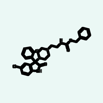 O=C(NCCN1CCN(C2(c3ccccc3Cl)C(=O)Nc3ccc(Cl)cc32)CC1)OCc1ccccc1